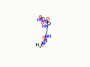 CN1CCN(CC(=O)NCCCCCCNc2cccc3c2CN(C2CCC(=O)NC2=O)C3=O)CC1